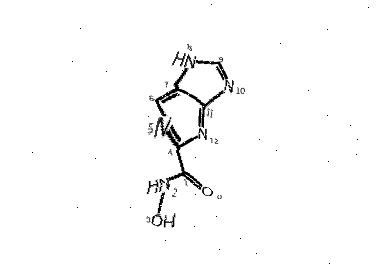 O=C(NO)c1ncc2[nH]cnc2n1